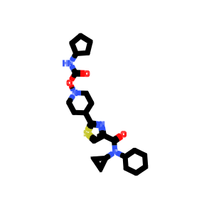 O=C(NC1CCCC1)ON1CCC(c2nc(C(=O)N(C3CCCCC3)C3CC3)cs2)CC1